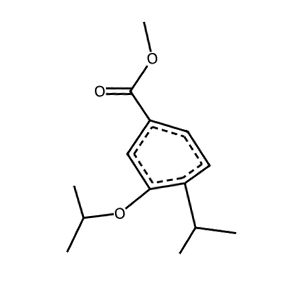 COC(=O)c1ccc(C(C)C)c(OC(C)C)c1